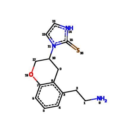 NCCc1cccc2c1CC(n1cc[nH]c1=S)CO2